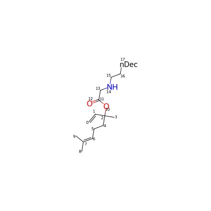 C=CC(C)(CCC=C(C)C)OC(=O)CNCCCCCCCCCCCC